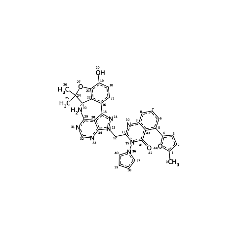 Cc1ccc(-c2cccc3nc(Cn4nc(-c5ccc(O)c6c5CC(C)(C)O6)c5c(N)ncnc54)n(-n4cccc4)c(=O)c23)o1